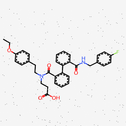 CCOc1ccc(CCN(CCC(=O)O)C(=O)c2ccccc2-c2ccccc2C(=O)NCc2ccc(F)cc2)cc1